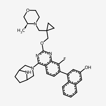 C[C@H]1COCCN1CC1(COc2nc(N3CC4CCC(C3)N4)c3ccc(-c4cc(O)cc5ccccc45)c(F)c3n2)CC1